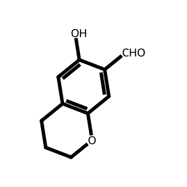 O=Cc1cc2c(cc1O)CCCO2